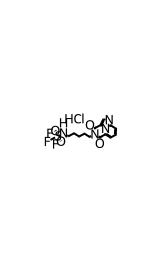 Cl.O=c1c2cccc3ncc(c(=O)n1CCCCCNS(=O)(=O)C(F)(F)F)n32